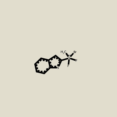 C[SH](F)(F)(Br)c1cc2ccccc2s1